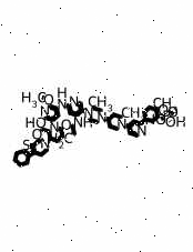 C=CC(=O)Nc1cc(Nc2cc(N3CCCC(N4CCc5c(sc6c5CCCC6)C4=O)C3CO)cnc2OC)ncc1N1CCN(C2CCN(c3ccnc(C4CCC(C)(OP(=O)(O)O)CC4)c3)[C@H](C)C2)C[C@@H]1C